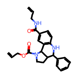 C=CCNC(=O)c1ccc2c(c1)C1C(CCN1C(=O)OCC=C)C(c1ccccc1)N2